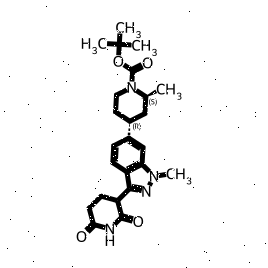 C[C@H]1C[C@H](c2ccc3c(C4CCC(=O)NC4=O)nn(C)c3c2)CCN1C(=O)OC(C)(C)C